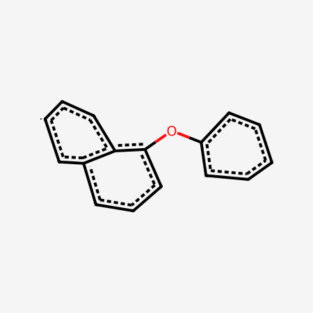 [c]1ccc2c(Oc3ccccc3)cccc2c1